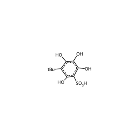 CC(C)(C)c1c(O)c(O)c(O)c(S(=O)(=O)O)c1O